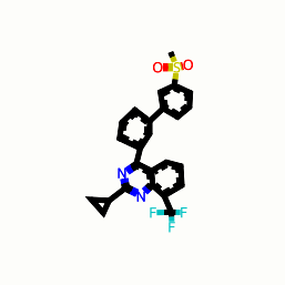 CS(=O)(=O)c1cccc(-c2cccc(-c3nc(C4CC4)nc4c(C(F)(F)F)cccc34)c2)c1